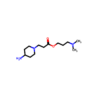 CN(C)CCCOC(=O)CCN1CCC(N)CC1